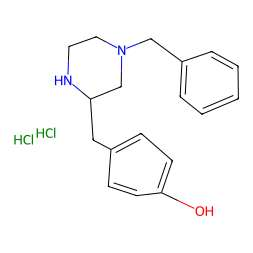 Cl.Cl.Oc1ccc(CC2CN(Cc3ccccc3)CCN2)cc1